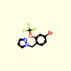 FC(F)(F)Oc1cc(Br)ccc1Cn1cccn1